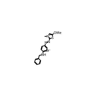 COc1c[n+](C)c(/N=N/c2ccc(NCc3ccccc3)cc2)s1.[Br-]